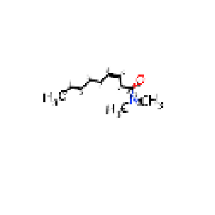 CCCCC/C=C\CC(=O)N(C)C